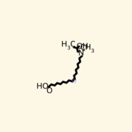 CCC(O)CN(CC)CCCCCCCC/C=C\CCCCCCCC(=O)O